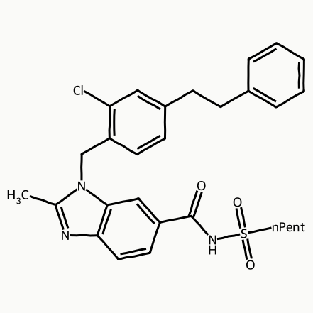 CCCCCS(=O)(=O)NC(=O)c1ccc2nc(C)n(Cc3ccc(CCc4ccccc4)cc3Cl)c2c1